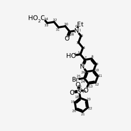 CCN(CCCC(O)c1ccc2ccc(OS(=O)(=O)c3ccccc3)c(Br)c2n1)C(=O)CCCCC(=O)O